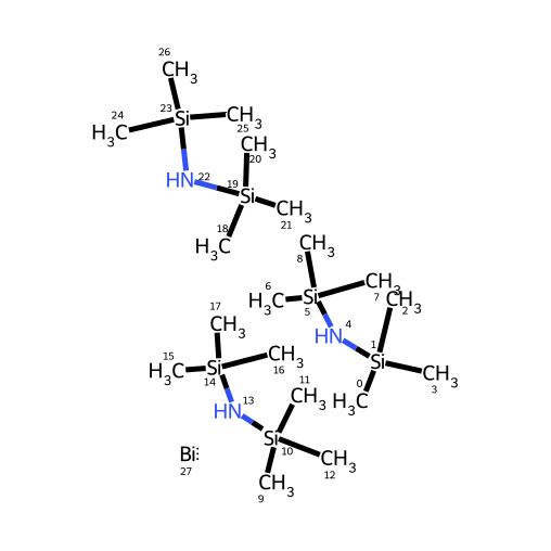 C[Si](C)(C)N[Si](C)(C)C.C[Si](C)(C)N[Si](C)(C)C.C[Si](C)(C)N[Si](C)(C)C.[Bi]